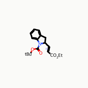 CCOC(=O)/C=C/C1Cc2ccccc2N1C(=O)OC(C)(C)C